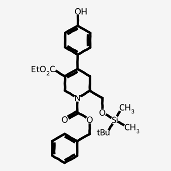 CCOC(=O)C1=C(c2ccc(O)cc2)CC(CO[Si](C)(C)C(C)(C)C)N(C(=O)OCc2ccccc2)C1